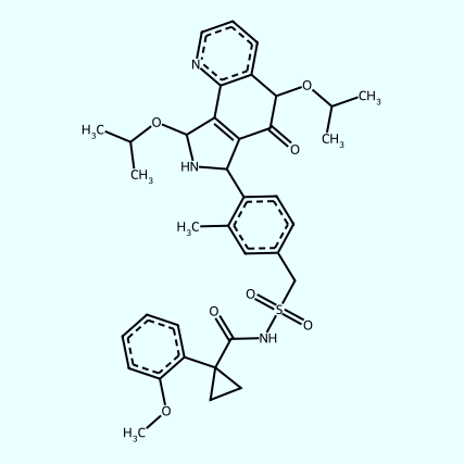 COc1ccccc1C1(C(=O)NS(=O)(=O)Cc2ccc(C3NC(OC(C)C)C4=C3C(=O)C(OC(C)C)c3cccnc34)c(C)c2)CC1